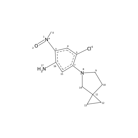 C[N+](=O)c1cc(Cl)c(N2CCC3(CC3)C2)cc1N